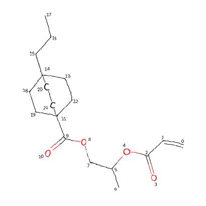 C=CC(=O)OC(C)COC(=O)C12CCC(CCC)(CC1)CC2